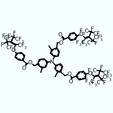 Cc1cc(N(c2ccc(COC(=O)c3ccc(OC(=C(C(F)(C(F)(F)F)C(F)(F)F)C(F)(C(F)(F)F)C(F)(F)F)C(F)(F)F)cc3)c(C)c2)c2ccc(COC(=O)c3ccc(OC(=C(C(F)(C(F)(F)F)C(F)(F)F)C(F)(C(F)(F)F)C(F)(F)F)C(F)(F)F)cc3)c(C)c2)ccc1COC(=O)c1ccc(OC(=C(C(F)(C(F)(F)F)C(F)(F)F)C(F)(C(F)(F)F)C(F)(F)F)C(F)(F)F)cc1